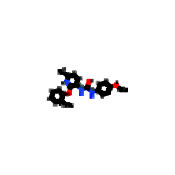 CC(C)(C)Oc1ccc(NC(=O)Nc2ccc(C#N)nc2Oc2ccccc2C(C)(C)C)cc1